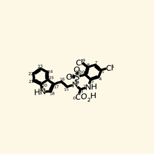 O=C(O)C1Nc2cc(Cl)cc(Cl)c2S(=O)(=O)N1CCc1c[nH]c2ccccc12